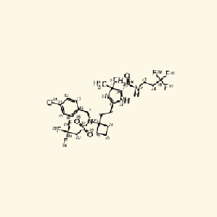 CC1(C)N=C(CCC2(N(Cc3ccc(Cl)cc3)S(=O)(=O)CC(F)(F)F)CCC2)N[C@H]1C(=O)NCCC(F)(F)F